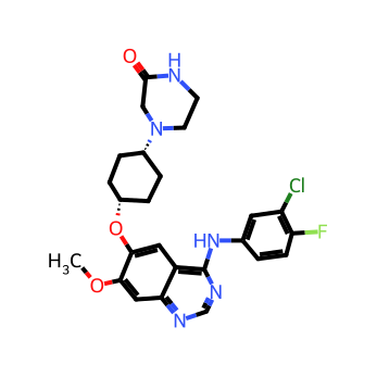 COc1cc2ncnc(Nc3ccc(F)c(Cl)c3)c2cc1O[C@H]1CC[C@@H](N2CCNC(=O)C2)CC1